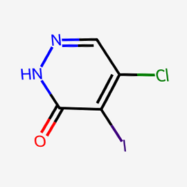 O=c1[nH]ncc(Cl)c1I